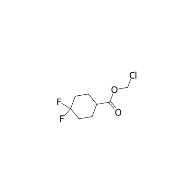 O=C(OCCl)C1CCC(F)(F)CC1